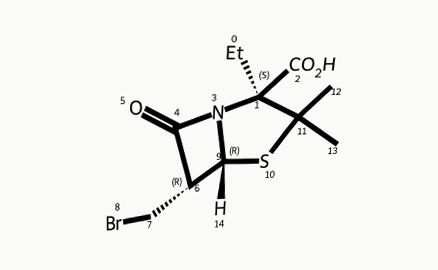 CC[C@@]1(C(=O)O)N2C(=O)[C@@H](CBr)[C@H]2SC1(C)C